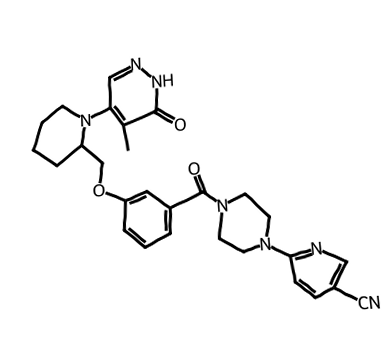 Cc1c(N2CCCCC2COc2cccc(C(=O)N3CCN(c4ccc(C#N)cn4)CC3)c2)cn[nH]c1=O